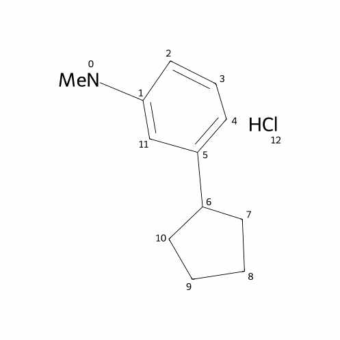 CNc1cccc(C2CCCC2)c1.Cl